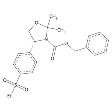 CCS(=O)(=O)c1ccc([C@@H]2COC(C)(C)N2C(=O)OCc2ccccc2)cc1